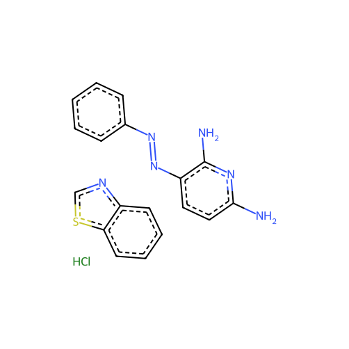 Cl.Nc1ccc(/N=N/c2ccccc2)c(N)n1.c1ccc2scnc2c1